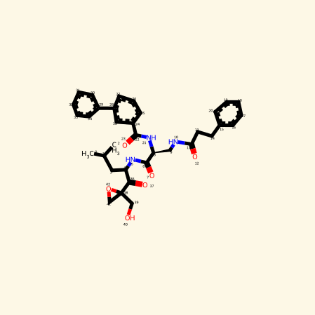 CC(C)CC(NC(=O)[C@H](CNC(=O)CCc1ccccc1)NC(=O)c1cccc(-c2ccccc2)c1)C(=O)C1(CO)CO1